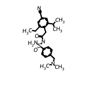 CCc1cc(C#N)cc(C(C)C)c1CC(=O)N=S(N)(=O)c1ccc(CN(C)C)cc1